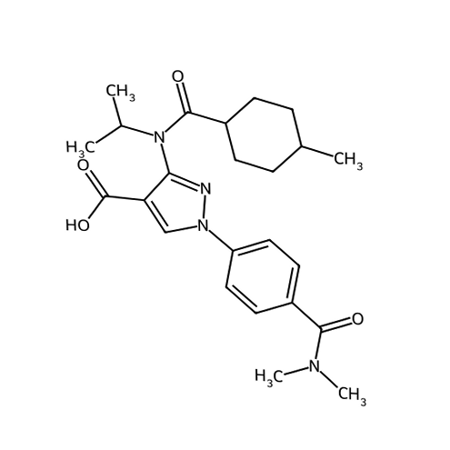 CC1CCC(C(=O)N(c2nn(-c3ccc(C(=O)N(C)C)cc3)cc2C(=O)O)C(C)C)CC1